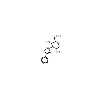 OC[C@H]1O[CH][C@H](O)[C@@H](n2cc(-c3ccccc3)nn2)[C@H]1O